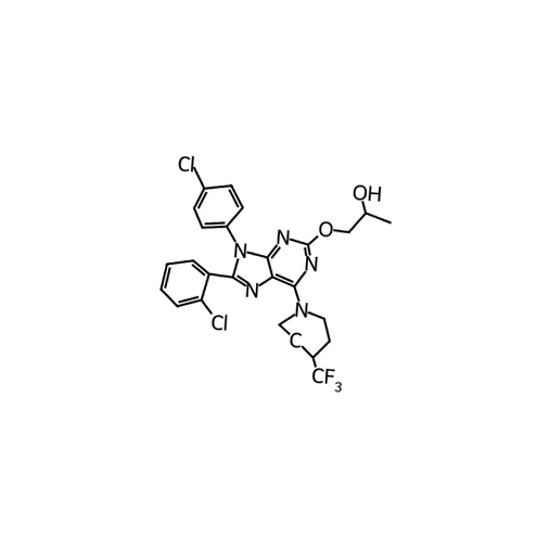 CC(O)COc1nc(N2CCC(C(F)(F)F)CC2)c2nc(-c3ccccc3Cl)n(-c3ccc(Cl)cc3)c2n1